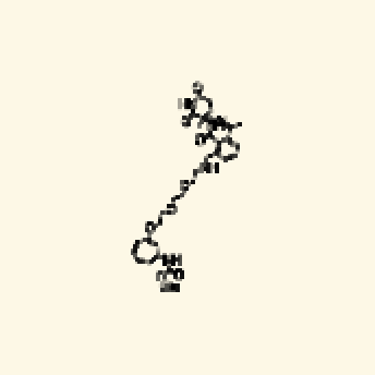 CC(=N)c1cccc(CNCCOCCOCCOC2=CC(NC(=O)OC(C)(C)C)C=CC=C2)c1C(=O)NC1(C)CCC(=O)NC1=O